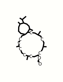 CC1CCCC(C)CCC(OC=O)CCC(C)CCCC(C)CCC2C(C)CCC(C(C)C)C(C)CCCC2CCC1